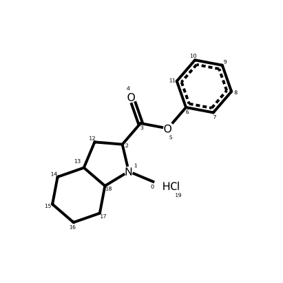 CN1C(C(=O)Oc2ccccc2)CC2CCCCC21.Cl